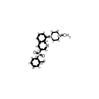 CN1CCN(c2cccc3cc(S(=O)(=O)c4ccccc4F)cnc23)CC1